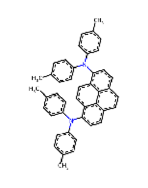 Cc1ccc(N(c2ccc(C)cc2)c2ccc3ccc4ccc(N(c5ccc(C)cc5)c5ccc(C)cc5)c5ccc2c3c45)cc1